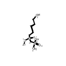 CCOP(=O)(CCCCCO)CP(=O)(O)O